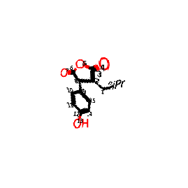 CC(C)C[C@@H]1C(=O)OC(=O)[C@@H]1c1ccc(O)cc1